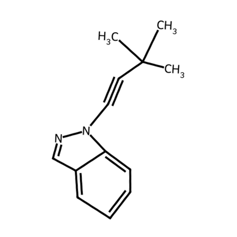 CC(C)(C)C#Cn1ncc2ccccc21